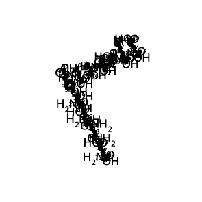 CC(C)C[C@H](N)C(=O)O.CC(C)[C@H](N)C(=O)O.C[C@@H](O)[C@H](N)C(=O)O.C[C@@H](O)[C@H](N)C(=O)O.C[C@H](N)C(=O)O.C[C@H](N)C(=O)O.NC(=O)CC[C@H](N)C(=O)O.NCCCC[C@H](N)C(=O)O.N[C@@H](CCC(=O)O)C(=O)O.N[C@@H](CCC(=O)O)C(=O)O.N[C@@H](Cc1ccc(O)cc1)C(=O)O